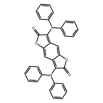 O=C1Oc2cc3c(cc2=C1N(c1ccccc1)c1ccccc1)OC(=O)C=3N(c1ccccc1)c1ccccc1